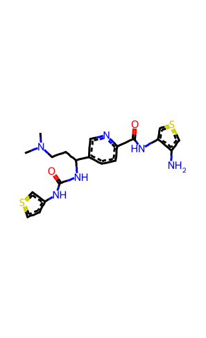 CN(C)CCC(NC(=O)Nc1ccsc1)c1ccc(C(=O)Nc2cscc2N)nc1